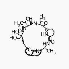 CC(C)[C@@H]1NC(=O)C(CO)(CO)/C=C/c2ccc3ccc(nc3c2)[C@@H](C)NC(=O)[C@@H]2CCCN(N2)C(=O)[C@H](C)NC1=O